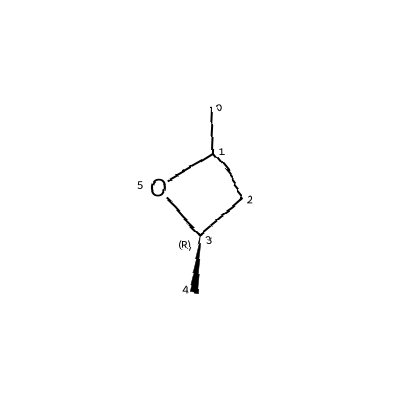 CC1C[C@@H](C)O1